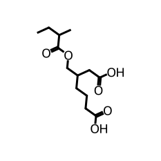 CCC(C)C(=O)OCC(CCCC(=O)O)CC(=O)O